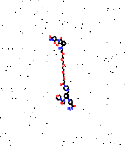 NC(=O)C1CCN(c2cc(CN3CCN(C(=O)CCOCCOCCOCCOCCOCCNc4cccc5c4C(=O)N(C4CCC(=O)NC4=O)C5=O)CC3)ccc2N2C=COC2N2CCOCC2)CC1